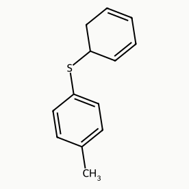 Cc1ccc(SC2C=CC=CC2)cc1